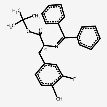 Cc1ccc(C[C@H](N=C(c2ccccc2)c2ccccc2)C(=O)OC(C)(C)C)cc1F